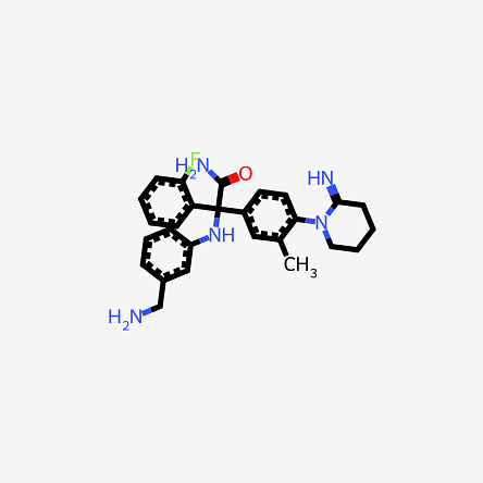 Cc1cc(C(Nc2cccc(CN)c2)(C(N)=O)c2ccccc2F)ccc1N1CCCCC1=N